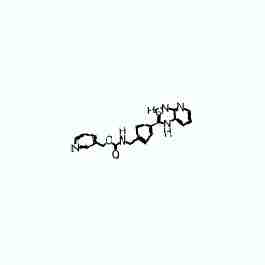 Nc1ncccc1NC(=O)c1ccc(CNC(=O)OCc2cccnc2)cc1